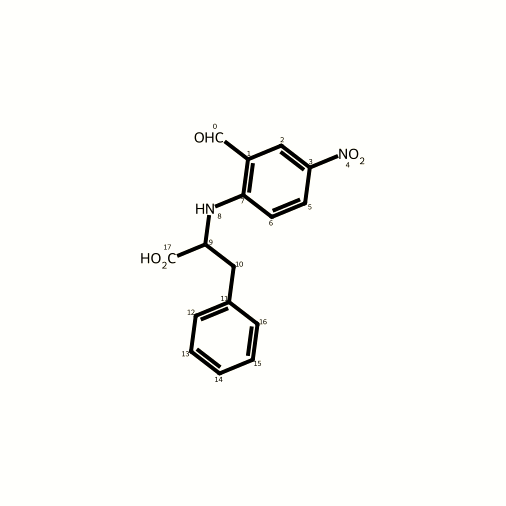 O=Cc1cc([N+](=O)[O-])ccc1NC(Cc1ccccc1)C(=O)O